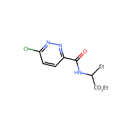 CCOC(=O)C(CC)NC(=O)c1ccc(Cl)nn1